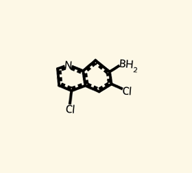 Bc1cc2nccc(Cl)c2cc1Cl